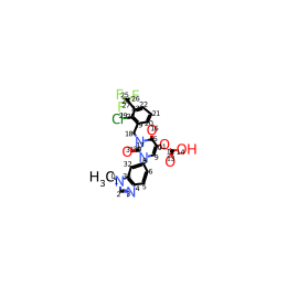 Cn1cnc2ccc(-n3cc(OC(=O)O)c(=O)n(Cc4cccc(C(F)(F)F)c4Cl)c3=O)cc21